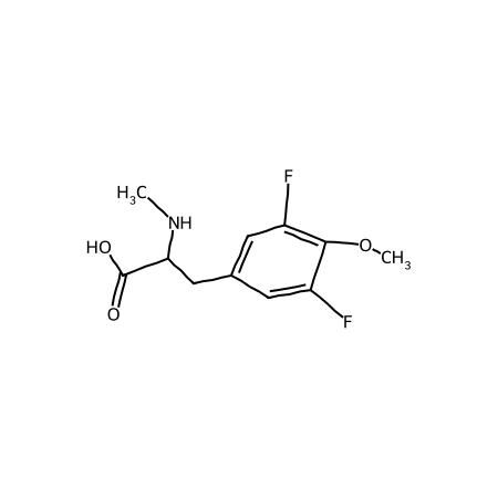 CNC(Cc1cc(F)c(OC)c(F)c1)C(=O)O